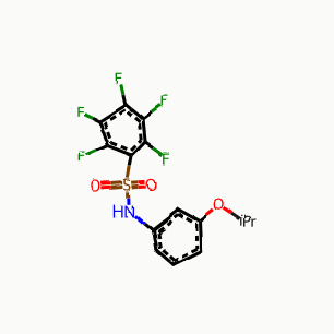 CC(C)Oc1cccc(NS(=O)(=O)c2c(F)c(F)c(F)c(F)c2F)c1